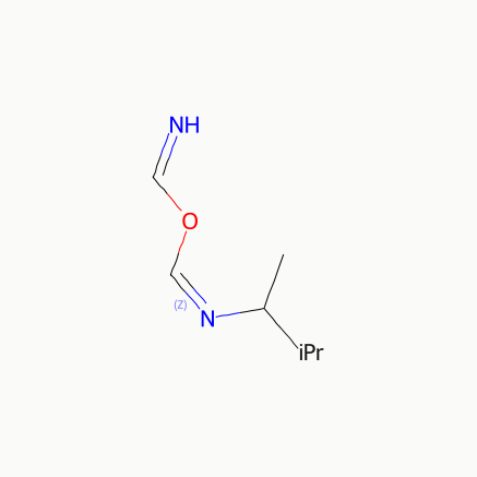 CC(C)C(C)/N=C\OC=N